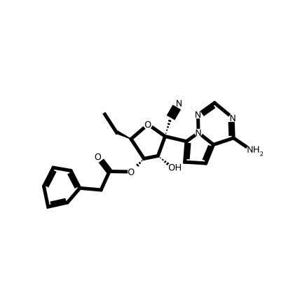 CC[C@H]1O[C@@](C#N)(c2ccc3c(N)ncnn23)[C@H](O)[C@@H]1OC(=O)Cc1ccccc1